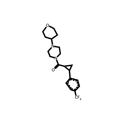 O=C(C1CC1c1ccc(C(F)(F)F)cc1)N1CCN(C2CCOCC2)CC1